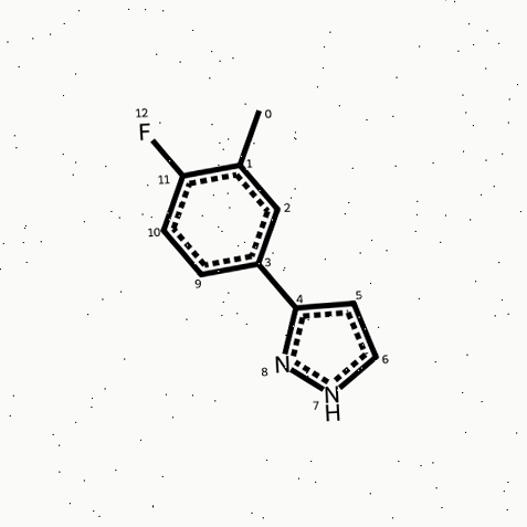 Cc1cc(-c2cc[nH]n2)ccc1F